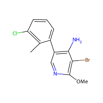 COc1ncc(-c2cccc(Cl)c2C)c(N)c1Br